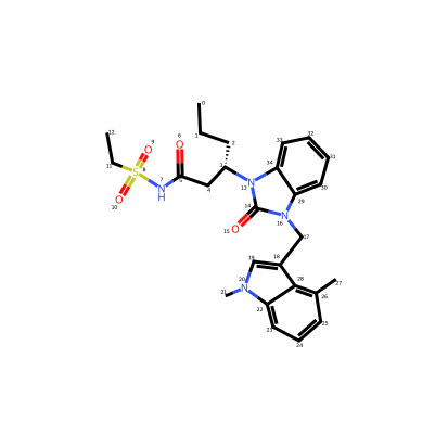 CCC[C@@H](CC(=O)NS(=O)(=O)CC)n1c(=O)n(Cc2cn(C)c3cccc(C)c23)c2ccccc21